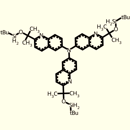 CC(C)(C)[SiH2]OC(C)(C)c1ccc2cc(N(c3ccc4nc(C(C)(C)O[SiH2]C(C)(C)C)ccc4c3)c3ccc4nc(C(C)(C)O[SiH2]C(C)(C)C)ccc4c3)ccc2n1